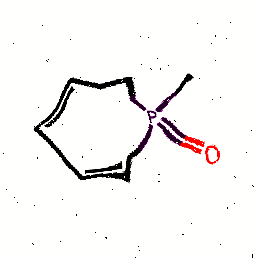 CP1(=O)C=CC=CC1